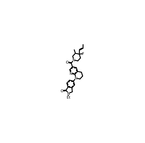 C/C=C/C1(F)CCN(C(=O)c2cnc3c(c2)CCCN3c2ccc3c(c2)CN(CC)C3=O)CC1C